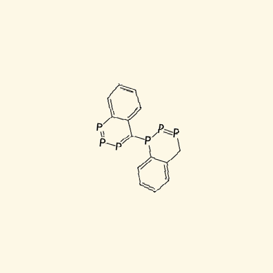 c1ccc2c(c1)CP=PP2c1pppc2ccccc12